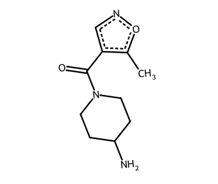 Cc1oncc1C(=O)N1CCC(N)CC1